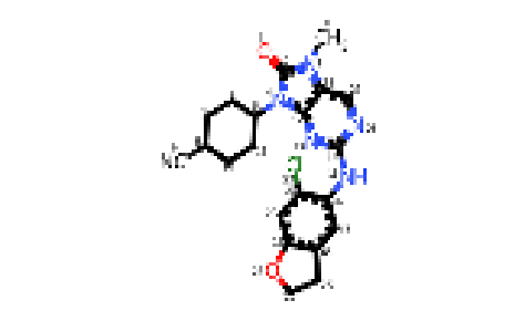 Cn1c(=O)n(C2CCC(C#N)CC2)c2nc(Nc3cc4c(cc3Cl)OCC4)ncc21